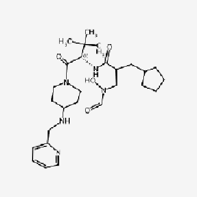 CC(C)(C)[C@H](NC(=O)C(CC1CCCC1)CN(O)C=O)C(=O)N1CCC(NCc2ccccn2)CC1